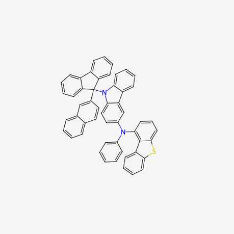 c1ccc(N(c2ccc3c(c2)c2ccccc2n3C2(c3ccc4ccccc4c3)c3ccccc3-c3ccccc32)c2cccc3sc4ccccc4c23)cc1